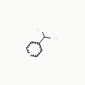 C[C](O)c1ccncc1